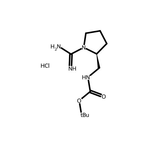 CC(C)(C)OC(=O)NC[C@@H]1CCCN1C(=N)N.Cl